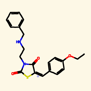 CCOc1ccc(/C=C2/SC(=O)N(CCNCc3ccccc3)C2=O)cc1